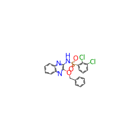 O=S(=O)(Nc1nc2ccccc2nc1OCc1ccccc1)c1cccc(Cl)c1Cl